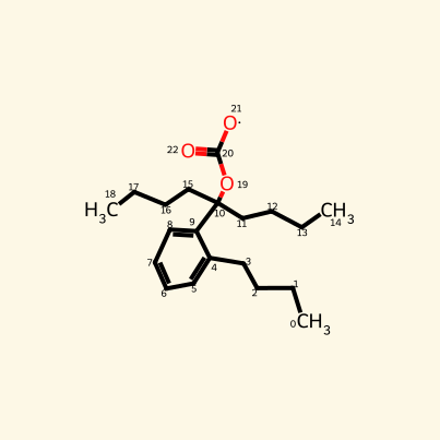 CCCCc1ccccc1C(CCCC)(CCCC)OC([O])=O